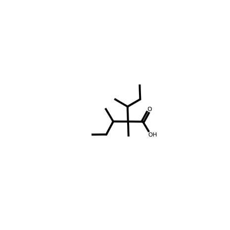 CCC(C)C(C)(C(=O)O)C(C)CC